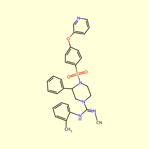 Cc1ccccc1N/C(=N\C#N)N1CCN(S(=O)(=O)c2ccc(Oc3cccnc3)cc2)C(c2ccccc2)C1